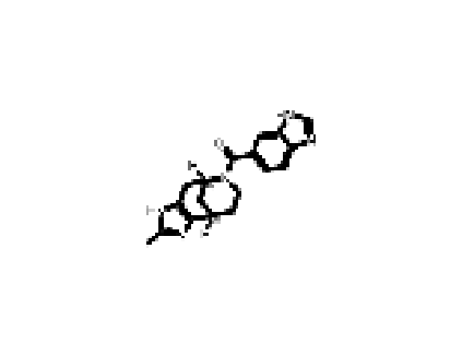 Cc1nc2c([nH]1)C[C@H]1C[C@@H]2CCN1C(=O)c1ccc2nc[nH]c2c1